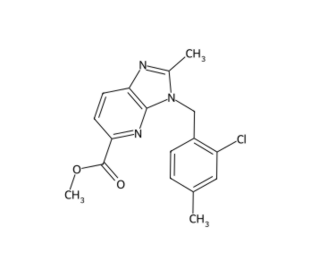 COC(=O)c1ccc2nc(C)n(Cc3ccc(C)cc3Cl)c2n1